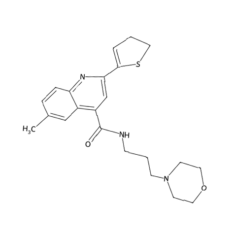 Cc1ccc2nc(C3=CCCS3)cc(C(=O)NCCCN3CCOCC3)c2c1